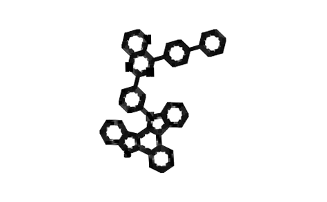 c1ccc(-c2ccc(-c3nc(-c4cccc(-n5c6ccccc6c6c7ccccc7c7sc8ccccc8c7c65)c4)nc4cccnc34)cc2)cc1